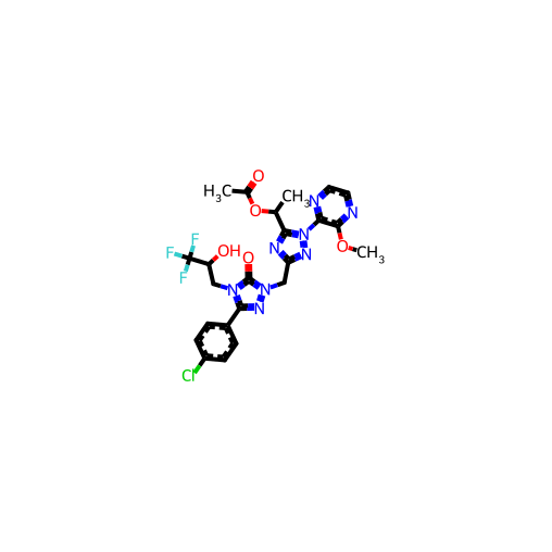 COc1nccnc1-n1nc(Cn2nc(-c3ccc(Cl)cc3)n(CC(O)C(F)(F)F)c2=O)nc1C(C)OC(C)=O